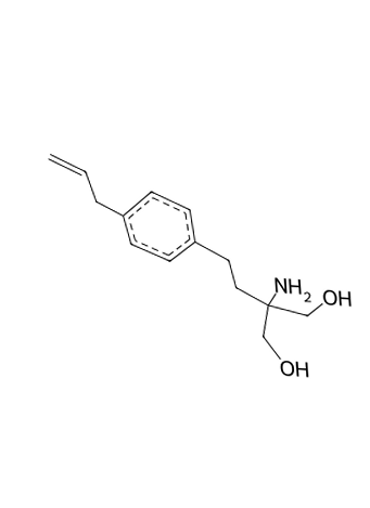 C=CCc1ccc(CCC(N)(CO)CO)cc1